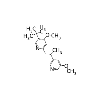 COc1cncc(C(C)Cc2cc(OC)c(C(C)(C)C)cn2)c1